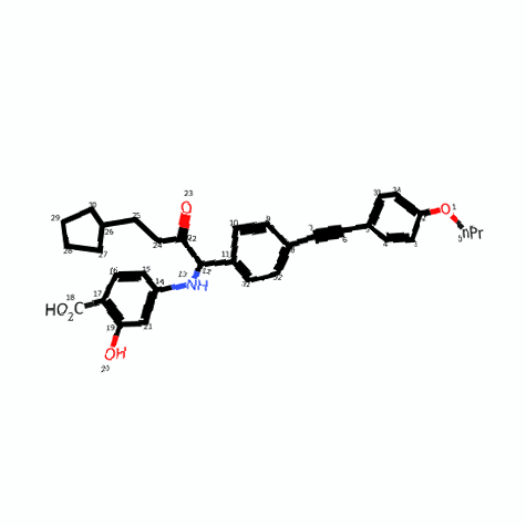 CCCOc1ccc(C#Cc2ccc(C(Nc3ccc(C(=O)O)c(O)c3)C(=O)CCC3CCCC3)cc2)cc1